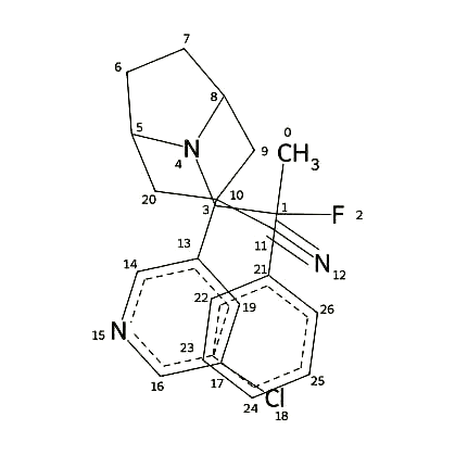 CC(F)(CN1C2CCC1CC(C#N)(c1cncc(Cl)c1)C2)c1ccccc1